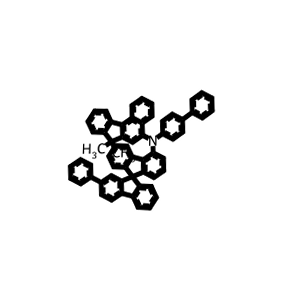 CC1(C)c2ccccc2-c2c1cc(N(c1ccc(-c3ccccc3)cc1)c1cccc3c1-c1ccccc1C31c3ccccc3-c3ccc(-c4ccccc4)cc31)c1ccccc21